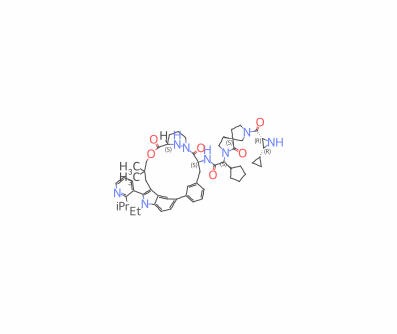 CCn1c(-c2cccnc2C(C)C)c2c3cc(ccc31)-c1cccc(c1)C[C@H](NC(=O)[C@H](C1CCCC1)N1CC[C@]3(CCN(C(=O)[C@@H]4N[C@@H]4C4CC4)C3)C1=O)C(=O)N1CCC[C@H](N1)C(=O)OCC(C)(C)C2